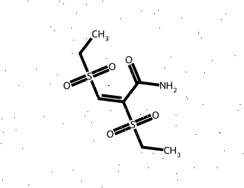 CCS(=O)(=O)C=C(C(N)=O)S(=O)(=O)CC